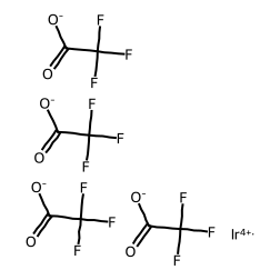 O=C([O-])C(F)(F)F.O=C([O-])C(F)(F)F.O=C([O-])C(F)(F)F.O=C([O-])C(F)(F)F.[Ir+4]